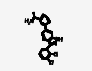 CC(N)c1cccc(-c2cnc3c(-c4cccc(Cl)c4Cl)n[nH]c3c2)c1